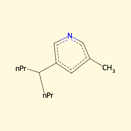 CCCC(CCC)c1cncc(C)c1